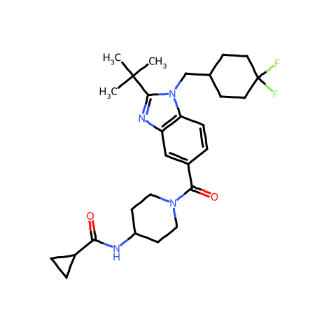 CC(C)(C)c1nc2cc(C(=O)N3CCC(NC(=O)C4CC4)CC3)ccc2n1CC1CCC(F)(F)CC1